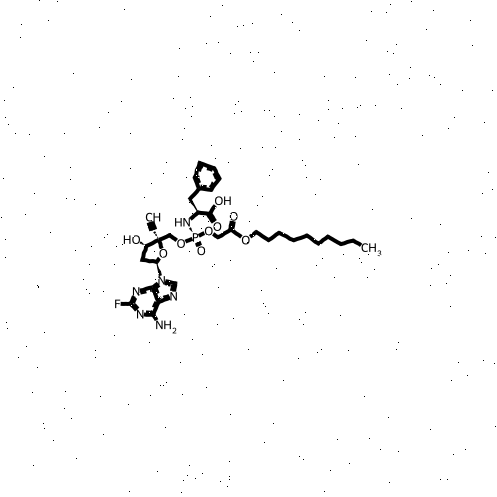 C#C[C@]1(CO[P@@](=O)(N[C@@H](Cc2ccccc2)C(=O)O)OCC(=O)OCCCCCCCCCC)O[C@@H](n2cnc3c(N)nc(F)nc32)C[C@@H]1O